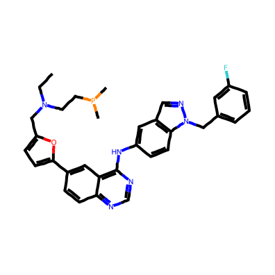 CCN(CCP(C)C)Cc1ccc(-c2ccc3ncnc(Nc4ccc5c(cnn5Cc5cccc(F)c5)c4)c3c2)o1